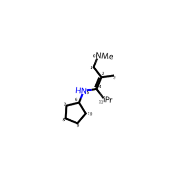 CNC/C(C)=C(\NC1CCCC1)C(C)C